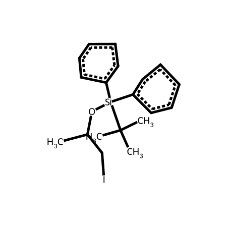 CC(CI)O[Si](c1ccccc1)(c1ccccc1)C(C)(C)C